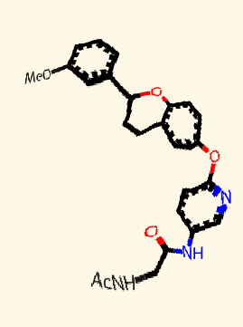 COc1cccc(C2CCc3cc(Oc4ccc(NC(=O)CNC(C)=O)cn4)ccc3O2)c1